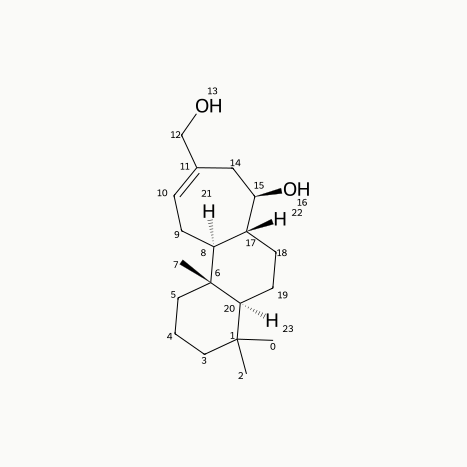 CC1(C)CCC[C@]2(C)[C@H]3CC=C(CO)C[C@@H](O)[C@@H]3CC[C@@H]12